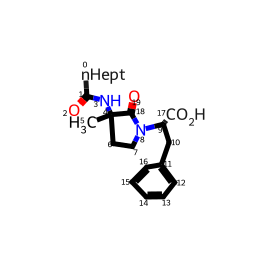 CCCCCCCC(=O)NC1(C)CCN(C(Cc2ccccc2)C(=O)O)C1=O